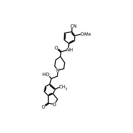 COc1cc(NC(=O)C2CCN(CC(O)c3ccc4c(c3C)COC4=O)CC2)ccc1C#N